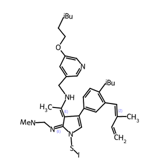 C=C/C(C)=C\c1cc(C2=CN(SI)C(=N/CNC)/C2=C(\C)NCc2cncc(OCCC(C)CC)c2)ccc1C(C)CC